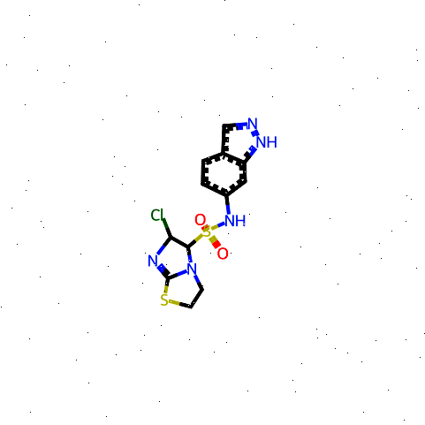 O=S(=O)(Nc1ccc2cn[nH]c2c1)C1C(Cl)N=C2SCCN21